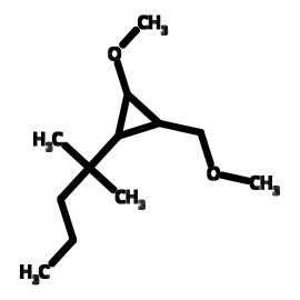 CCCC(C)(C)C1C(COC)C1OC